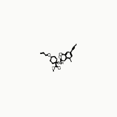 CC#Cc1cc(C)c(CC(=O)NC2(C(=O)OC)CCC(OCCC)CC2)c(Cl)c1